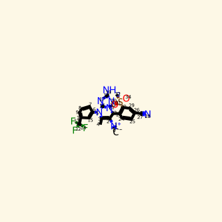 [C-]#[N+]C1=C(C)N(c2cccc(C(F)(F)F)c2)c2nc(N)nn2C1c1ccc(C#N)cc1S(C)(=O)=O